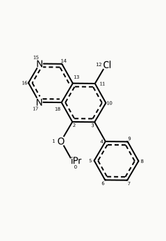 CC(C)Oc1c(-c2ccccc2)cc(Cl)c2cncnc12